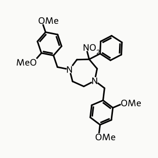 COc1ccc(CN2CCN(Cc3ccc(OC)cc3OC)CC(c3ccccc3)([N+](=O)[O-])C2)c(OC)c1